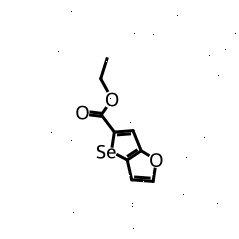 CCOC(=O)c1cc2occc2[se]1